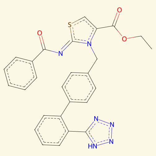 CCOC(=O)c1csc(=NC(=O)c2ccccc2)n1Cc1ccc(-c2ccccc2-c2nnn[nH]2)cc1